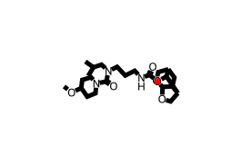 COC1CCN(C(=O)N(CCCNC(=O)OC2C3COC4OCC2C4C3)CC(C)C)CC1